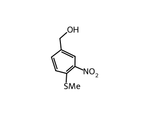 CSc1ccc(CO)cc1[N+](=O)[O-]